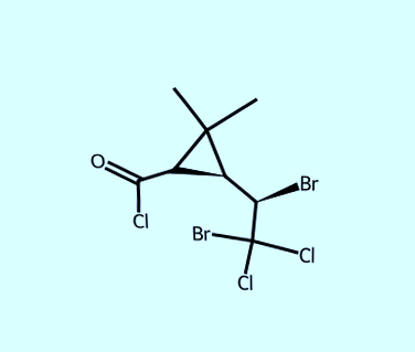 CC1(C)C(C(=O)Cl)[C@@H]1[C@@H](Br)C(Cl)(Cl)Br